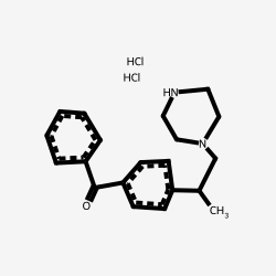 CC(CN1CCNCC1)c1ccc(C(=O)c2ccccc2)cc1.Cl.Cl